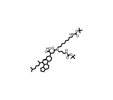 CC(C)CCCC(C)C1C=C2CC(C(CC(=O)N(CCCCCCCCNC(=O)OC(C)(C)C)CCCNC(=O)OC(C)(C)C)C(=O)O)CCC2C2CCC3CCCC3C12